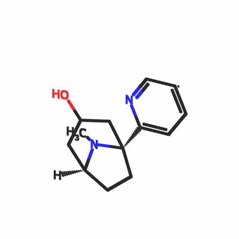 CN1[C@H]2CC[C@]1(c1cc[c]cn1)CC(O)C2